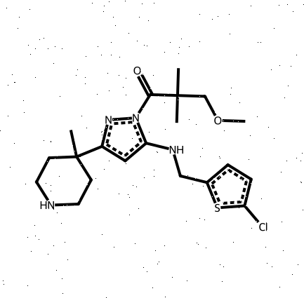 COCC(C)(C)C(=O)n1nc(C2(C)CCNCC2)cc1NCc1ccc(Cl)s1